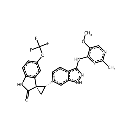 COc1cnc(C)nc1Nc1n[nH]c2cc([C@@H]3C[C@@]34C(=O)Nc3ccc(OC(F)(F)F)cc34)ccc12